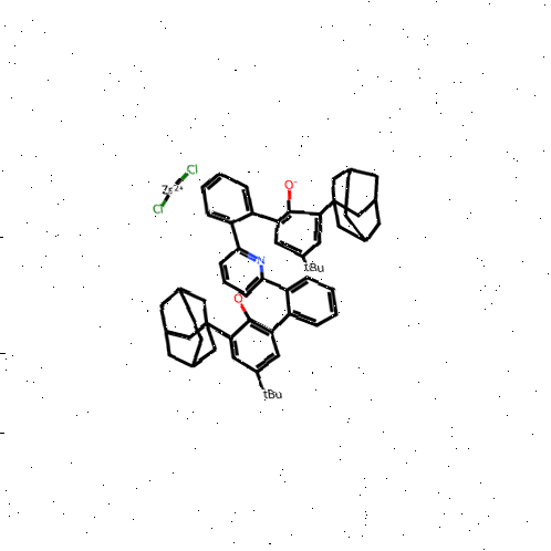 CC(C)(C)c1cc(-c2ccccc2-c2cccc(-c3ccccc3-c3cc(C(C)(C)C)cc(C45CC6CC(CC(C6)C4)C5)c3[O-])n2)c([O-])c(C23CC4CC(CC(C4)C2)C3)c1.[Cl][Zr+2][Cl]